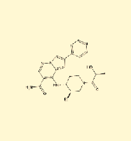 CC[C@@H]1CN(C(=O)[C@H](C)O)CC[C@H]1Nc1c(C(N)=O)cnn2cc(-c3ccncc3)cc12